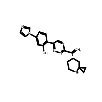 C=C(c1ncc(-c2ccc(-n3ccnc3)cc2O)nn1)[C@H]1CCNC2(CC2)C1